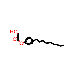 CCCCCCCCCc1ccc(OC2OC2CO)cc1